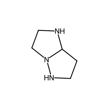 C1CN2NCCC2N1